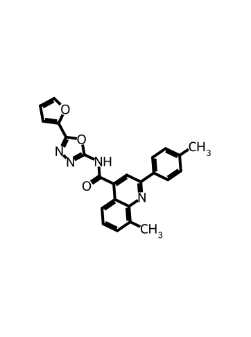 Cc1ccc(-c2cc(C(=O)Nc3nnc(-c4ccco4)o3)c3cccc(C)c3n2)cc1